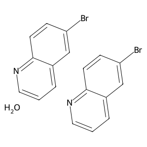 Brc1ccc2ncccc2c1.Brc1ccc2ncccc2c1.O